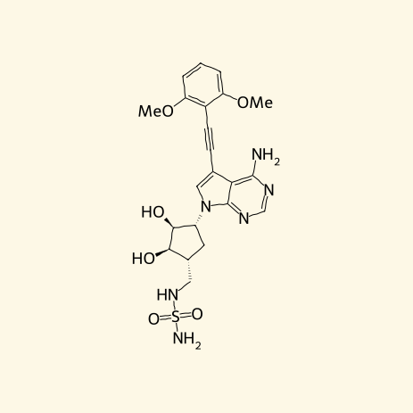 COc1cccc(OC)c1C#Cc1cn([C@@H]2C[C@H](CNS(N)(=O)=O)[C@@H](O)[C@H]2O)c2ncnc(N)c12